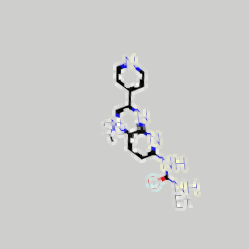 CCNC(=O)Nc1ccc2ncc(-c3ccncc3)nc2n1.CS(=O)(=O)O